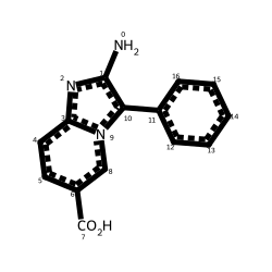 Nc1nc2ccc(C(=O)O)cn2c1-c1ccccc1